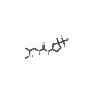 CNC(C)CNC(=O)NC1CCC(C)(C(F)(F)F)C1